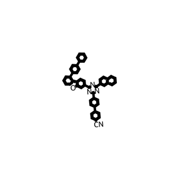 N#Cc1ccc(-c2ccc(-c3nc(-c4ccc5ccccc5c4)nc(-c4ccc5c(c4)oc4cccc(-c6ccc(-c7ccccc7)cc6)c45)n3)cc2)cc1